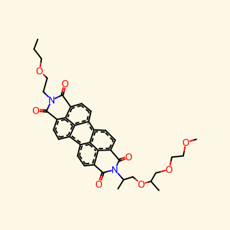 CCCOCCN1C(=O)c2ccc3c4ccc5c6c(ccc(c7ccc(c2c37)C1=O)c64)C(=O)N(C(C)COC(C)COCCOC)C5=O